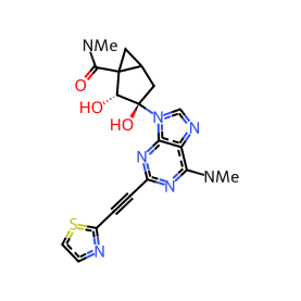 CNC(=O)C12CC1C[C@](O)(n1cnc3c(NC)nc(C#Cc4nccs4)nc31)[C@@H]2O